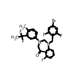 Cc1ccc(N2CC(=O)c3c(F)cccc3N(Cc3c(F)cc(Br)cc3F)C2)cc1C(C)(F)F